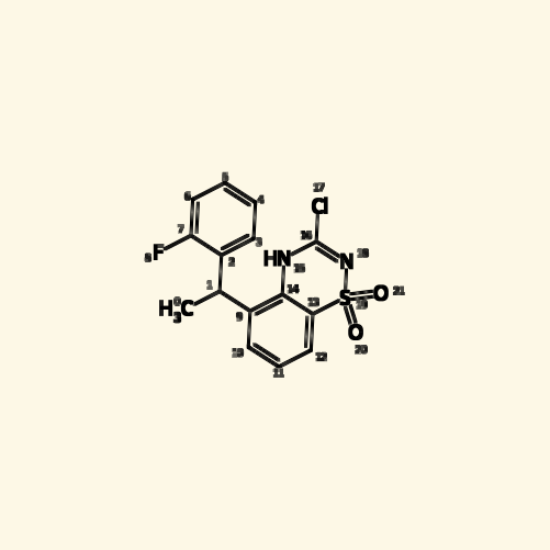 CC(c1ccccc1F)c1cccc2c1NC(Cl)=NS2(=O)=O